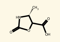 C[C@H]1NC(=O)OC1C(=O)O